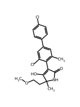 COCCC1(C)NC(=O)C(c2c(C)cc(-c3ccc(Cl)cc3)cc2Cl)=C1O